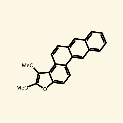 COc1oc2ccc3c4cc5ccccc5cc4ccc3c2c1OC